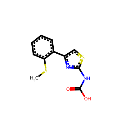 CSc1ccccc1-c1csc(NC(=O)O)n1